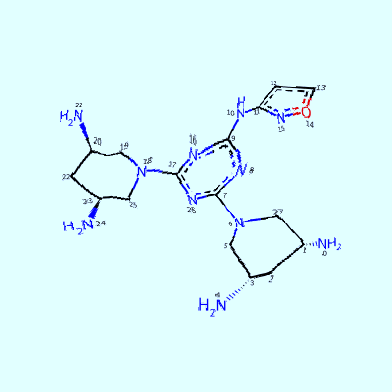 N[C@@H]1C[C@H](N)CN(c2nc(Nc3ccon3)nc(N3C[C@H](N)C[C@H](N)C3)n2)C1